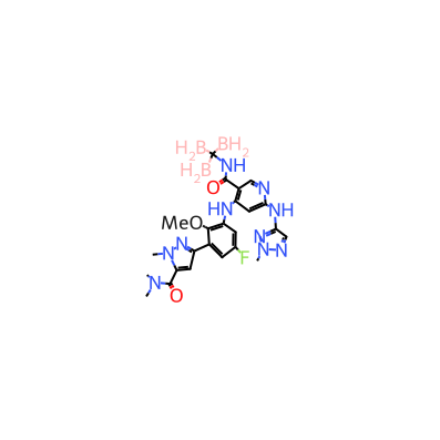 BC(B)(B)NC(=O)c1cnc(Nc2cnn(C)n2)cc1Nc1cc(F)cc(-c2cc(C(=O)N(C)C)n(C)n2)c1OC